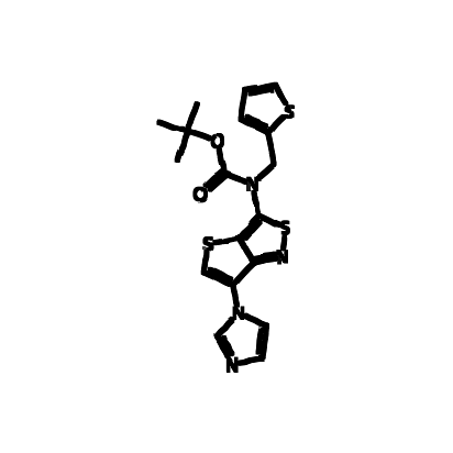 CC(C)(C)OC(=O)N(Cc1cccs1)c1snc2c(-n3ccnc3)csc12